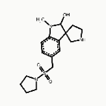 CN1c2ccc(CS(=O)(=O)N3CCCC3)cc2C2(CCNC2)C1O